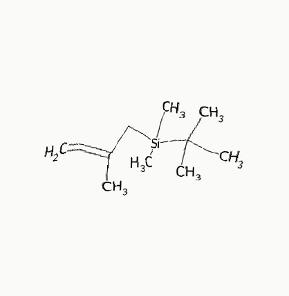 C=C(C)C[Si](C)(C)C(C)(C)C